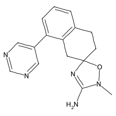 CN1OC2(CCc3cccc(-c4cncnc4)c3C2)N=C1N